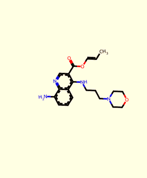 CC=COC(=O)c1cnc2c(N)cccc2c1NCCCN1CCOCC1